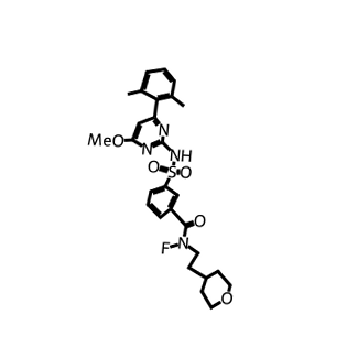 COc1cc(-c2c(C)cccc2C)nc(NS(=O)(=O)c2cccc(C(=O)N(F)CCC3CCOCC3)c2)n1